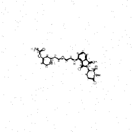 CN1C(=O)CCC(N2C(=O)c3cccc(NCCOCCC4CC(OC(N)=O)CCN4)c3C2=O)C1=O